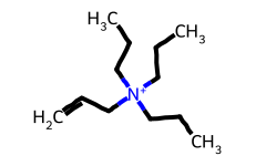 C=CC[N+](CCC)(CCC)CCC